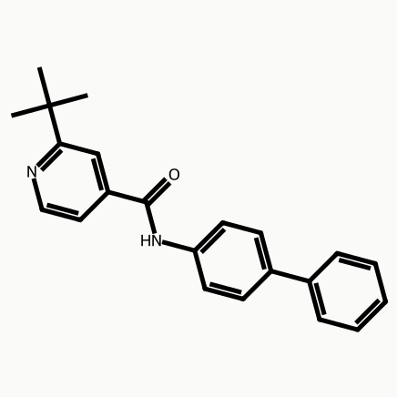 CC(C)(C)c1cc(C(=O)Nc2ccc(-c3ccccc3)cc2)ccn1